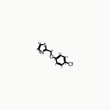 Clc1ccc(OCc2n[c]cs2)cc1